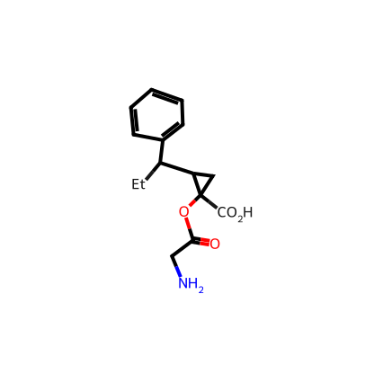 CCC(c1ccccc1)C1CC1(OC(=O)CN)C(=O)O